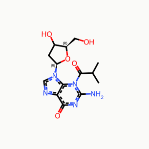 CC(C)C(=O)n1c(N)nc(=O)c2ncn([C@H]3CC(O)[C@@H](CO)O3)c21